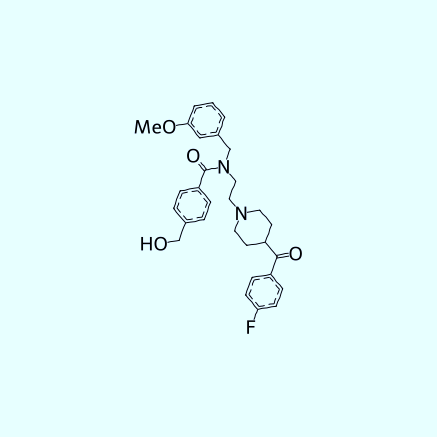 COc1cccc(CN(CCN2CCC(C(=O)c3ccc(F)cc3)CC2)C(=O)c2ccc(CO)cc2)c1